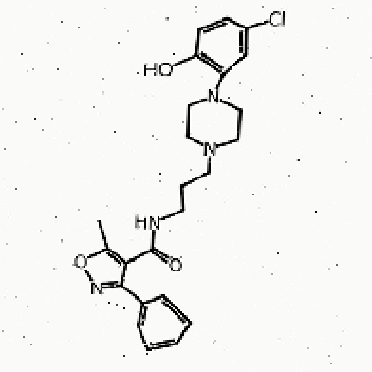 Cc1onc(-c2ccccc2)c1C(=O)NCCCN1CCN(c2cc(Cl)ccc2O)CC1